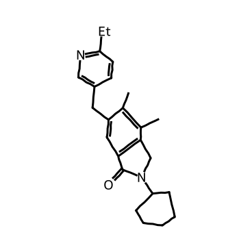 CCc1ccc(Cc2cc3c(c(C)c2C)CN(C2CCCCC2)C3=O)cn1